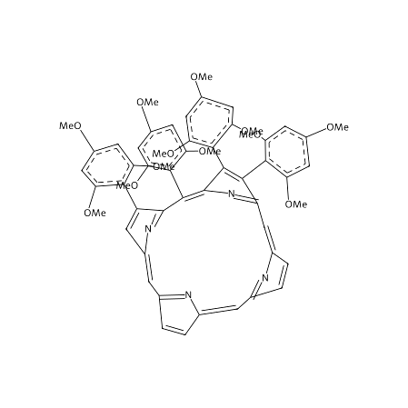 COc1cc(OC)c(C2=CC3=CC4=NC(=CC5=NC(=CC6=NC(=C(c7c(OC)cc(OC)cc7OC)C2=N3)C(c2c(OC)cc(OC)cc2OC)=C6c2c(OC)cc(OC)cc2OC)C=C5)C=C4)c(OC)c1